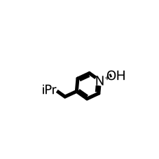 CC(C)Cc1cc[n+](O)cc1